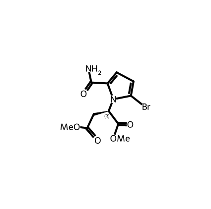 COC(=O)C[C@H](C(=O)OC)n1c(Br)ccc1C(N)=O